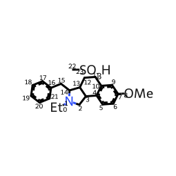 CCN1CC2c3ccc(OC)cc3CCC2C1Cc1ccccc1.CS(=O)(=O)O